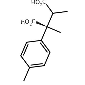 Cc1ccc([C@](C)(C(=O)O)C(C)C(=O)O)cc1